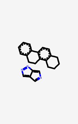 C1=NC=C2N=NC=C12.c1ccc2c(c1)CCc1c-2ccc2c1CCCC2